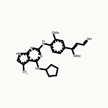 CN/C(=C\C=N)c1ccc(Nc2nc(NC3CCCC3)c3c(C(F)(F)F)c[nH]c3n2)c(OC)c1